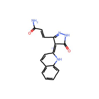 NC(=O)C=CC1=NNC(=O)/C1=C1/C=Cc2ccccc2N1